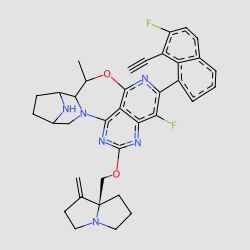 C#Cc1c(F)ccc2cccc(-c3nc4c5c(nc(OC[C@@]67CCCN6CCC7=C)nc5c3F)N3CC5CCC(N5)C3C(C)O4)c12